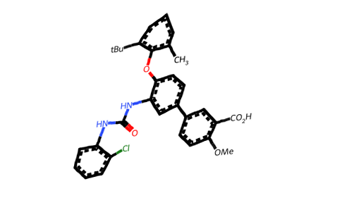 COc1ccc(-c2ccc(Oc3c(C)cccc3C(C)(C)C)c(NC(=O)Nc3ccccc3Cl)c2)cc1C(=O)O